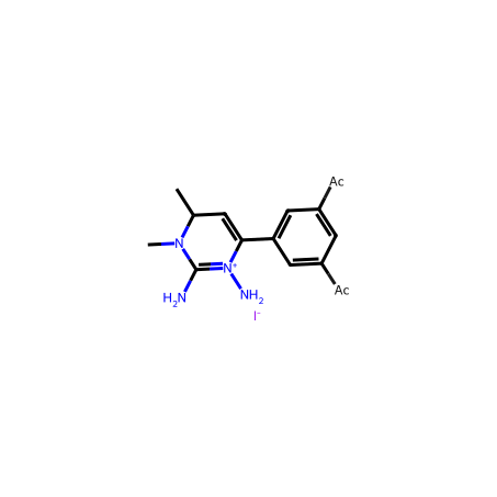 CC(=O)c1cc(C(C)=O)cc(C2=CC(C)N(C)C(N)=[N+]2N)c1.[I-]